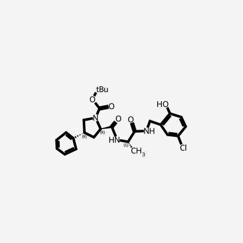 C[C@H](NC(=O)[C@H]1C[C@H](c2ccccc2)CN1C(=O)OC(C)(C)C)C(=O)NCc1cc(Cl)ccc1O